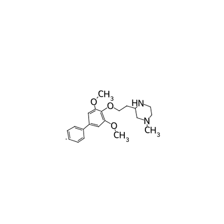 COc1cc(-c2cc[c]cc2)cc(OC)c1OCCC1CN(C)CCN1